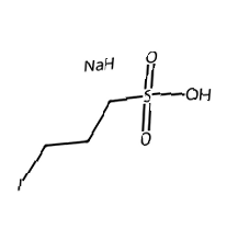 O=S(=O)(O)CCCI.[NaH]